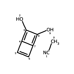 CC#N.Oc1c2ccc-2c1O